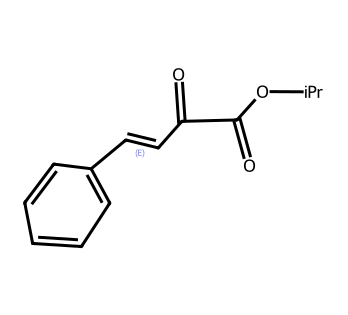 CC(C)OC(=O)C(=O)/C=C/c1ccccc1